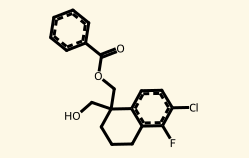 O=C(OCC1(CO)CCCc2c1ccc(Cl)c2F)c1ccccc1